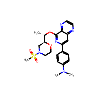 C[C@H](Oc1nc(-c2ccc(N(C)C)cc2)cc2nccnc12)[C@@H]1CN(S(C)(=O)=O)CCO1